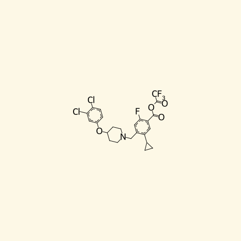 O=C(OC(=O)C(F)(F)F)c1cc(C2CC2)c(CN2CCC(Oc3ccc(Cl)c(Cl)c3)CC2)cc1F